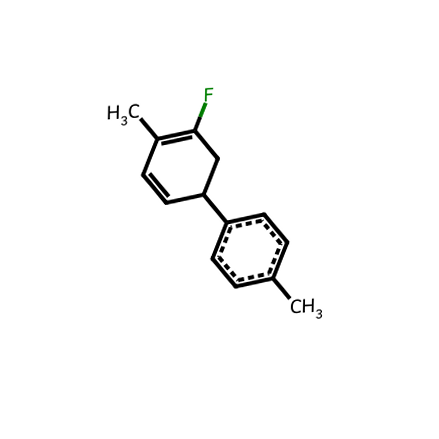 CC1=C(F)CC(c2ccc(C)cc2)C=C1